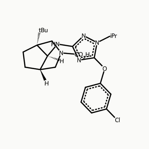 CC(C)n1nc(N[C@H]2[C@H]3CC[C@@]2(C(C)(C)C)CN(C(=O)O)C3)nc1Oc1cccc(Cl)c1